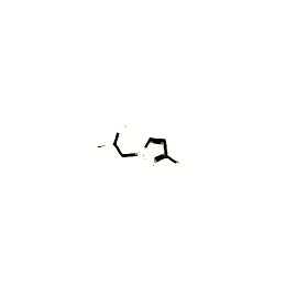 Bc1ccn(C[C@@H](C)O)n1